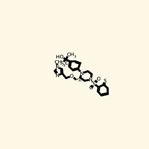 Cn1cnc(COC[C@H]2CN(S(=O)(=O)C3=CC=CCC3=S)CCN2c2ccc(C(C)(O)C(F)(F)F)cc2)c1